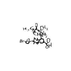 CN(C)C(=O)N(C)C.Nc1cc(C(=O)O)cn2nc(-c3ccc(Br)o3)nc12